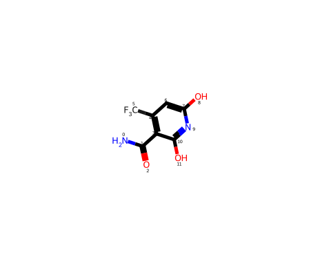 NC(=O)c1c(C(F)(F)F)cc(O)nc1O